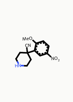 COc1ccc([N+](=O)[O-])cc1C1(C#N)CCNCC1